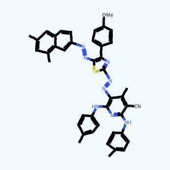 COc1ccc(-c2nc(N=Nc3c(Nc4ccc(C)cc4)nc(Nc4ccc(C)cc4)c(C#N)c3C)sc2N=Nc2ccc3cc(C)cc(C)c3c2)cc1